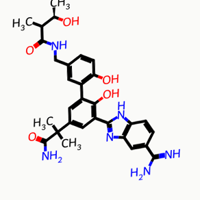 CC(C(=O)NCc1ccc(O)c(-c2cc(C(C)(C)C(N)=O)cc(-c3nc4cc(C(=N)N)ccc4[nH]3)c2O)c1)[C@@H](C)O